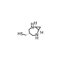 SC[C@@H]1CN[C@H]2C[C@H]2NC1